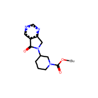 CC(C)(C)OC(=O)N1CCCC(N2Cc3ncncc3C2=O)C1